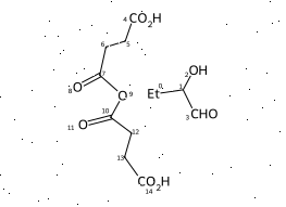 CCC(O)C=O.O=C(O)CCC(=O)OC(=O)CCC(=O)O